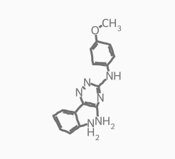 COc1ccc(Nc2nnc(-c3ccccc3N)c(N)n2)cc1